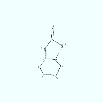 S=C1N=C2CCCCC2S1